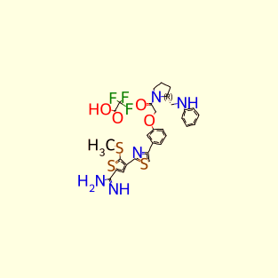 CSc1sc(C(=N)N)cc1-c1nc(-c2cccc(OCC(=O)N3CCC[C@@H]3CNc3ccccc3)c2)cs1.O=C(O)C(F)(F)F